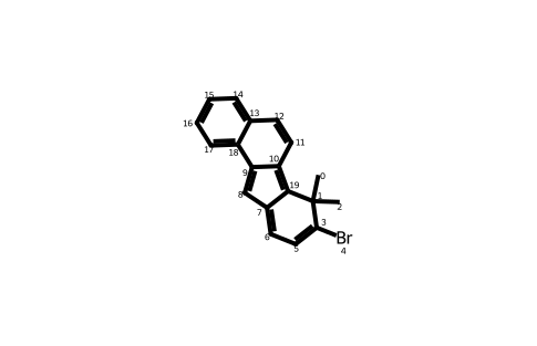 CC1(C)C(Br)=CC=C2C=c3c(ccc4ccccc34)=C21